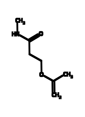 C=C(C)OCCC(=O)NC